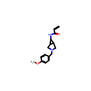 C=CC(=O)NC1C2CN(Cc3ccc(OC(F)(F)F)cc3)CC21